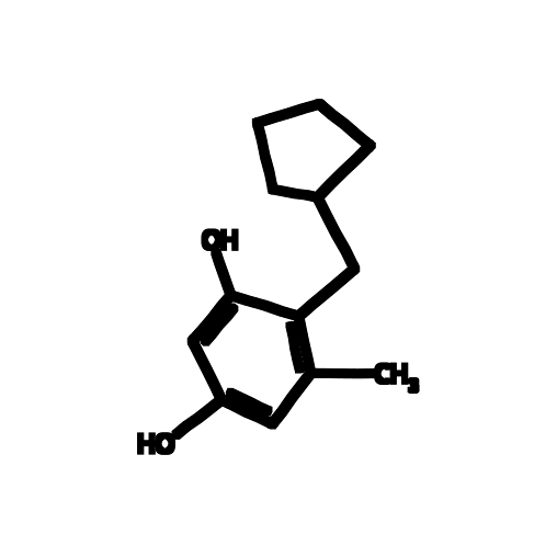 Cc1cc(O)cc(O)c1CC1CCCC1